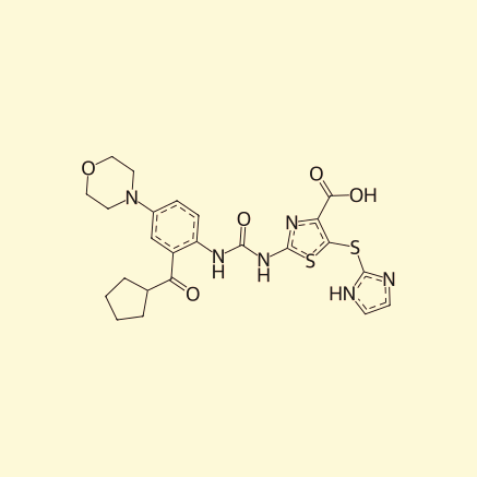 O=C(Nc1nc(C(=O)O)c(Sc2ncc[nH]2)s1)Nc1ccc(N2CCOCC2)cc1C(=O)C1CCCC1